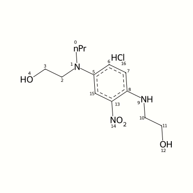 CCCN(CCO)c1ccc(NCCO)c([N+](=O)[O-])c1.Cl